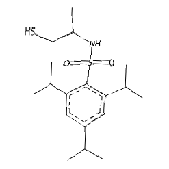 CC(CS)NS(=O)(=O)c1c(C(C)C)cc(C(C)C)cc1C(C)C